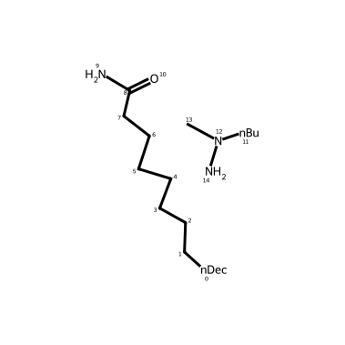 CCCCCCCCCCCCCCCCCC(N)=O.CCCCN(C)N